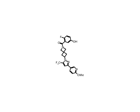 COc1ccc(-c2cc(C(F)(F)F)n(C3CC4(C3)CN(C(=O)c3cc(O)ccc3F)C4)n2)cn1